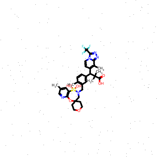 Cc1cnc2c(c1)S(O)(O)N(Cc1cc(C(c3ccn4c(C(F)(F)F)nnc4c3C)C(C)(C)C(=O)O)ccc1C)CC1(CCOCC1)O2